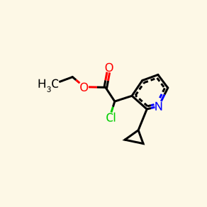 CCOC(=O)C(Cl)c1cccnc1C1CC1